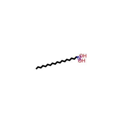 CCCCCCCCCCCCCCCCCCN(O)O